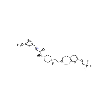 Cn1cc(/C=C/C(=O)N[C@H]2CC[C@](F)(CCN3CCc4ccc(OCC(F)(F)F)nc4CC3)CC2)cn1